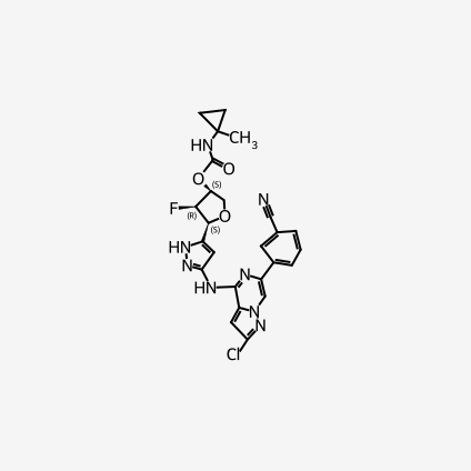 CC1(NC(=O)O[C@H]2CO[C@@H](c3cc(Nc4nc(-c5cccc(C#N)c5)cn5nc(Cl)cc45)n[nH]3)[C@H]2F)CC1